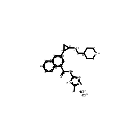 Cc1nnc(NC(=O)c2cc(C3CC3NCC3CCOCC3)cc3ccccc23)s1.Cl.Cl